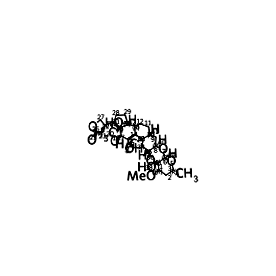 CO[C@@H]1C[C@@H](C)O[C@H]2O[C@@H]3C[C@H]4CC[C@@H]5C(=C(O)C(=O)[C@]6(C)[C@@H](C7=CC(=O)OC7)CC[C@]56O)[C@@]4(C)C[C@H]3O[C@]21O